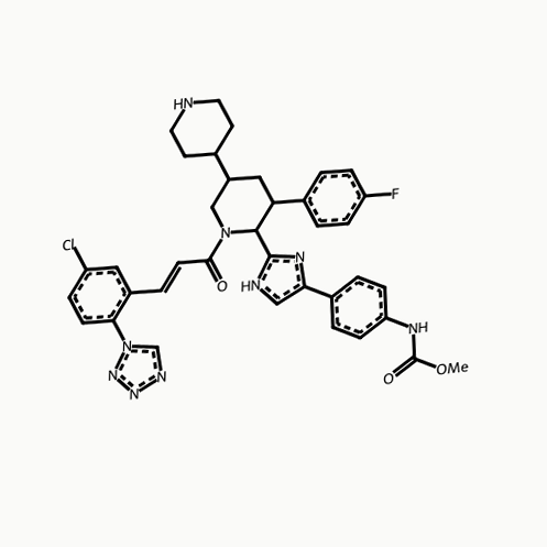 COC(=O)Nc1ccc(-c2c[nH]c(C3C(c4ccc(F)cc4)CC(C4CCNCC4)CN3C(=O)/C=C/c3cc(Cl)ccc3-n3cnnn3)n2)cc1